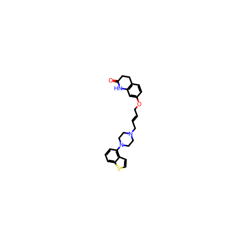 O=C1CCc2ccc(OC/C=C/CN3CCN(c4cccc5sccc45)CC3)cc2N1